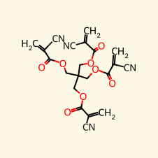 C=C(C#N)C(=O)OCC(COC(=O)C(=C)C#N)(COC(=O)C(=C)C#N)COC(=O)C(=C)C#N